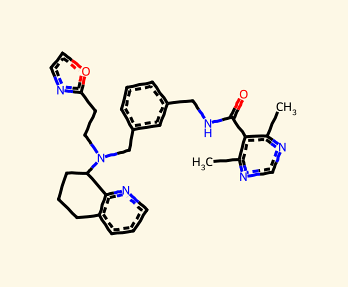 Cc1ncnc(C)c1C(=O)NCc1cccc(CN(CCc2ncco2)C2CCCc3cccnc32)c1